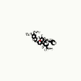 CNC(=O)C1(c2ccc(Oc3ccnc4cc(OC)c(OC)cc34)c(F)c2)C(c2ccc(F)cc2)C(=O)C(C(N)=O)=CN1CC1CCOCC1